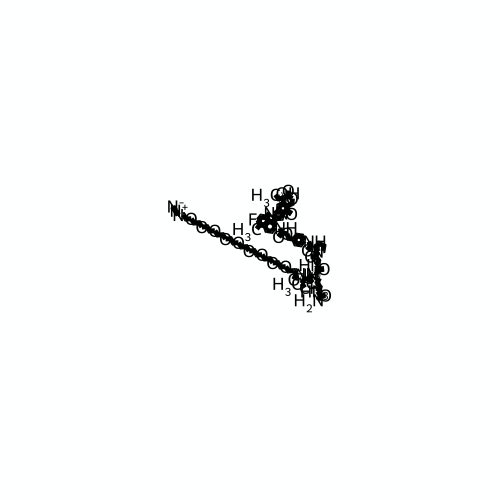 CC[C@@]1(O)C(=O)OCc2c1cc1n(c2=O)Cc2c-1nc1cc(F)c(C)c3c1c2C(NC(=O)OCc1ccc(NC(=O)[C@@H]2CCCN2C(=O)CNC(=O)[C@H](CCCNC(N)=O)NC(=O)[C@@H](NC(=O)CCOCCOCCOCCOCCOCCOCCOCCOCCOCCN=[N+]=[N-])C(C)C)cc1)CC3